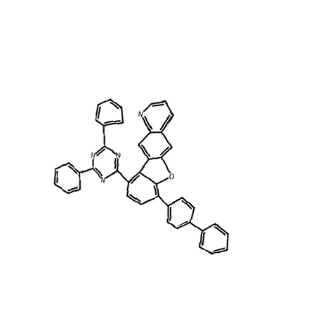 c1ccc(-c2ccc(-c3ccc(-c4nc(-c5ccccc5)nc(-c5ccccc5)n4)c4c3oc3cc5cccnc5cc34)cc2)cc1